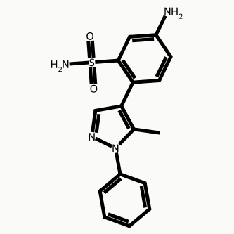 Cc1c(-c2ccc(N)cc2S(N)(=O)=O)cnn1-c1ccccc1